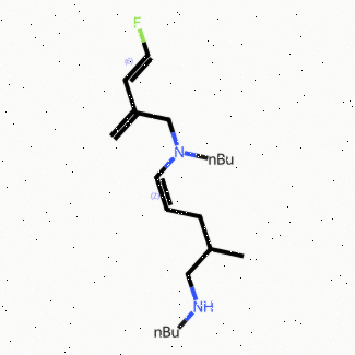 C=C(/C=C/F)CN(/C=C\CC(C)CNCCCC)CCCC